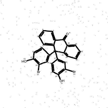 O=C1c2ccccc2C(c2ccc(O)c(Br)c2)(c2ccc(O)c(Br)c2)c2ccccc21